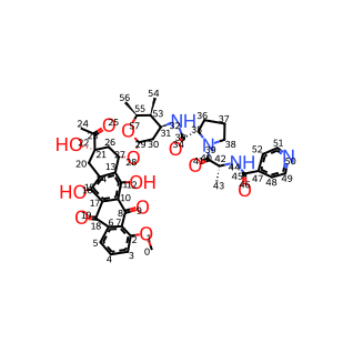 COc1cccc2c1C(=O)c1c(O)c3c(c(O)c1C2=O)C[C@@](O)(C(C)=O)C[C@@H]3O[C@H]1C[C@H](NC(=O)[C@@H]2CCCN2C(=O)[C@@H](C)NC(=O)c2ccncc2)[C@H](C)[C@H](C)O1